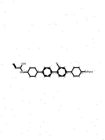 C=CC(O)NC1CCC(c2ccc(-c3ccc(C4CCC(CCCCC)CC4)cc3C)cc2)CC1